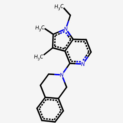 CCn1c(C)c(C)c2c(N3CCc4ccccc4C3)nccc21